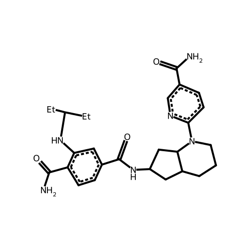 CCC(CC)Nc1cc(C(=O)NC2CC3CCCN(c4ccc(C(N)=O)cn4)C3C2)ccc1C(N)=O